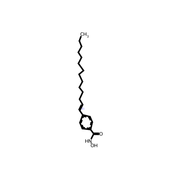 CCCCCCCCCCCC/C=C/c1ccc(C(=O)NO)cc1